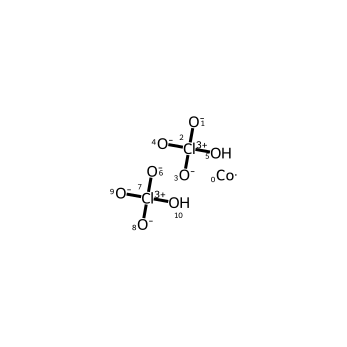 [Co].[O-][Cl+3]([O-])([O-])O.[O-][Cl+3]([O-])([O-])O